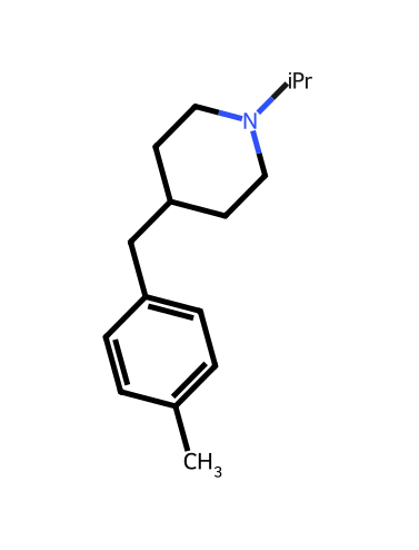 Cc1ccc(CC2CCN(C(C)C)CC2)cc1